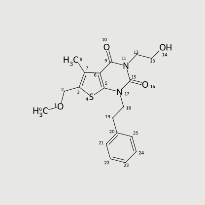 COCc1sc2c(c1C)c(=O)n(CCO)c(=O)n2CCc1ccccc1